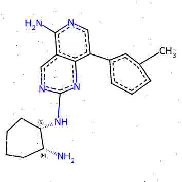 Cc1cccc(-c2cnc(N)c3cnc(N[C@H]4CCCC[C@H]4N)nc23)c1